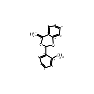 C=C1OC(c2ccccc2C)Oc2ccccc21